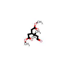 COC(=O)CC(CC(=O)OC)C(C)(C)CC=O